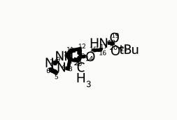 Cc1c(Cn2ccnc2N)cccc1OCCNC(=O)OC(C)(C)C